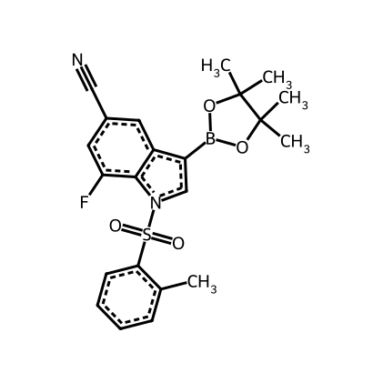 Cc1ccccc1S(=O)(=O)n1cc(B2OC(C)(C)C(C)(C)O2)c2cc(C#N)cc(F)c21